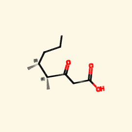 CCC[C@@H](C)[C@@H](C)C(=O)CC(=O)O